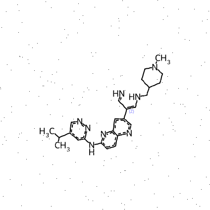 CC(C)c1cnnc(Nc2ccc3ncc(/C(C=N)=C/NCC4CCN(C)CC4)cc3n2)c1